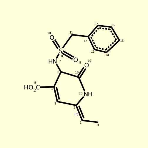 C/C=C1/C=C(C(=O)O)C(NS(=O)(=O)Cc2ccccc2)C(=O)N1